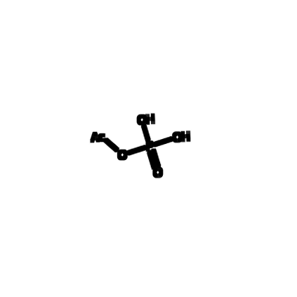 O=P(O)(O)[O][Ac]